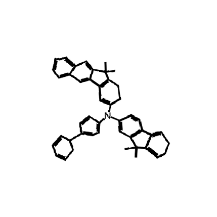 CC1(C)C2=CCCC=C2c2ccc(N(C3=CC4=C(CC3)C(C)(C)c3cc5ccccc5cc34)c3ccc(C4C=CC=CC4)cc3)cc21